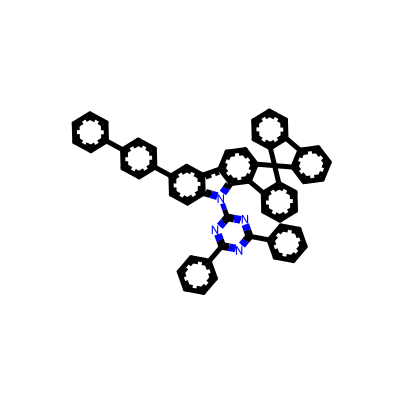 c1ccc(-c2ccc(-c3ccc4c(c3)c3ccc5c(c3n4-c3nc(-c4ccccc4)nc(-c4ccccc4)n3)-c3ccccc3C53c4ccccc4-c4ccccc43)cc2)cc1